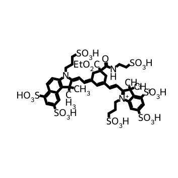 CCOC(=O)C1(C(=O)NCCS(=O)(=O)O)CC(/C=C/C2=[N+](CCCS(=O)(=O)O)c3cc(S(=O)(=O)O)cc(S(=O)(=O)O)c3C2(C)C)=CC(=C/C=C2/N(CCCS(=O)(=O)O)c3ccc4c(S(=O)(=O)O)cc(S(=O)(=O)O)cc4c3C2(C)C)/C1